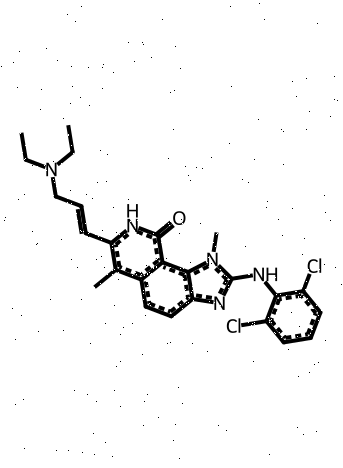 CCN(CC)C/C=C/c1[nH]c(=O)c2c(ccc3nc(Nc4c(Cl)cccc4Cl)n(C)c32)c1C